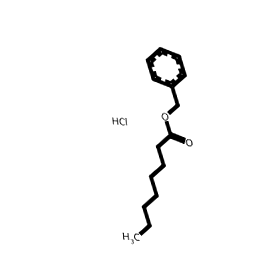 CCCCCCCC(=O)OCc1ccccc1.Cl